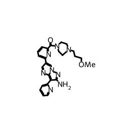 COCCCN1CCN(C(=O)c2cccc(-c3cnc4c(-c5ccccn5)c(N)nn4c3)n2)CC1